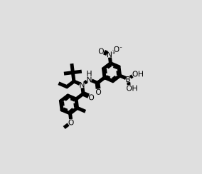 CCC(N(NC(=O)c1cc(B(O)O)cc([N+](=O)[O-])c1)C(=O)c1cccc(OC)c1C)C(C)(C)C